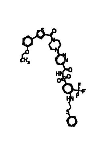 CCOc1cccc(-c2csc(C(=O)N3CCN(c4ccc(C(=O)NS(=O)(=O)c5ccc(NCCSc6ccccc6)c(C(F)(F)F)c5)nn4)CC3)c2)c1